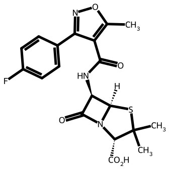 Cc1onc(-c2ccc(F)cc2)c1C(=O)N[C@@H]1C(=O)N2[C@@H]1SC(C)(C)[C@@H]2C(=O)O